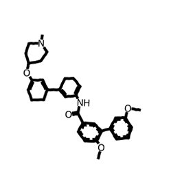 COc1cccc(-c2cc(C(=O)NC3=CCCC(C4=CC(OC5CCN(C)CC5)=CCC4)=C3)ccc2OC)c1